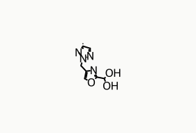 OC(O)c1nc(Cn2n[c]cn2)co1